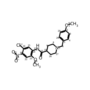 COc1ccc(CN2CCC(C(=O)Nc3cc(Cl)c([N+](=O)[O-])cc3OC)CC2)cc1